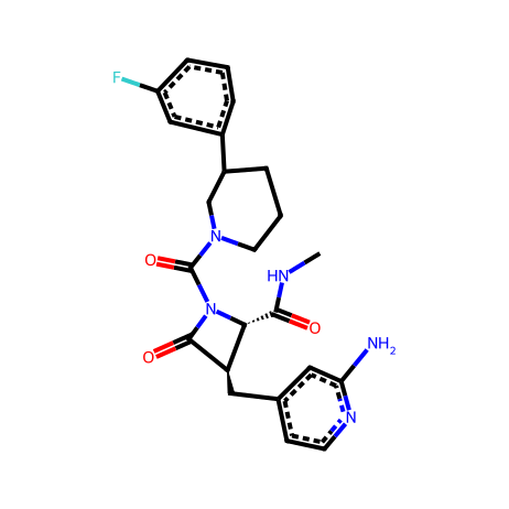 CNC(=O)[C@@H]1[C@@H](Cc2ccnc(N)c2)C(=O)N1C(=O)N1CCCC(c2cccc(F)c2)C1